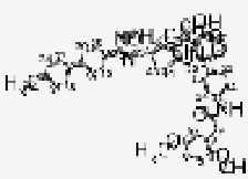 COc1ccc(OC)c(CC(=O)Nc2ccc(C(=O)N(Cc3ccc(-c4nc(-c5ccc(-c6ccc(C)cc6)cc5)no4)cc3)C(C(=O)O)C(C)(C)C)cc2)c1